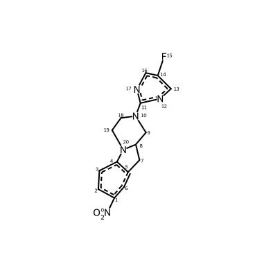 O=[N+]([O-])c1ccc2c(c1)CC1CN(c3ncc(F)cn3)CCN21